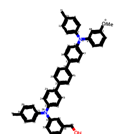 COc1cccc(N(c2ccc(C)cc2)c2ccc(-c3ccc(-c4ccc(N(c5ccc(C)cc5)c5cccc(CO)c5)cc4)cc3)cc2)c1